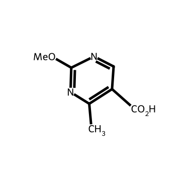 COc1ncc(C(=O)O)c(C)n1